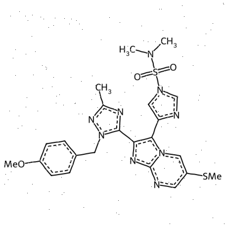 COc1ccc(Cn2nc(C)nc2-c2nc3ncc(SC)cn3c2-c2cn(S(=O)(=O)N(C)C)cn2)cc1